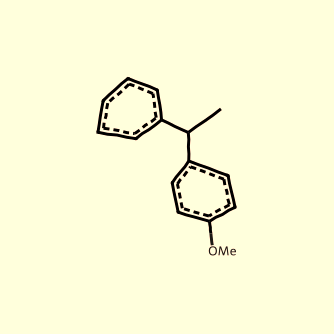 COc1ccc(C(C)c2ccccc2)cc1